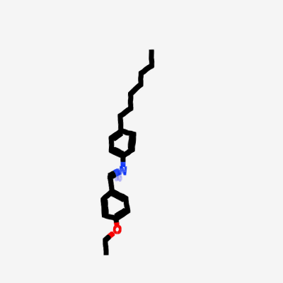 CCCCCCCc1ccc(/N=C/c2ccc(OCC)cc2)cc1